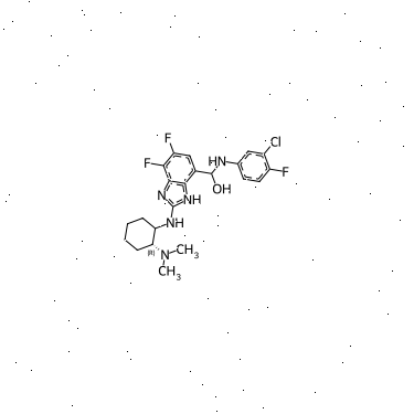 CN(C)[C@@H]1CCCCC1Nc1nc2c(F)c(F)cc(C(O)Nc3ccc(F)c(Cl)c3)c2[nH]1